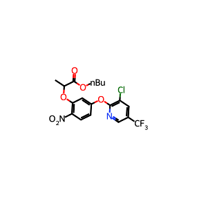 CCCCOC(=O)C(C)Oc1cc(Oc2ncc(C(F)(F)F)cc2Cl)ccc1[N+](=O)[O-]